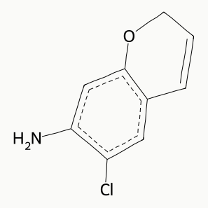 Nc1cc2c(cc1Cl)C=CCO2